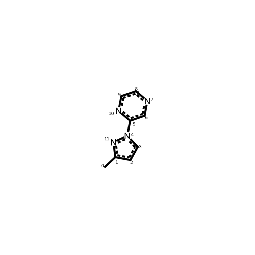 Cc1ccn(-c2cn[c]cn2)n1